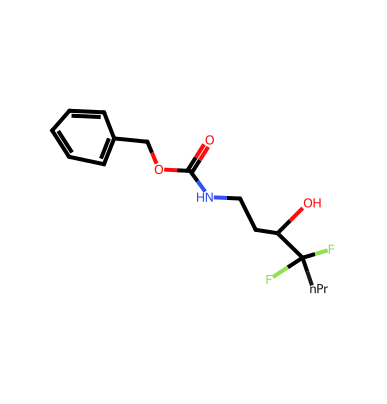 CCCC(F)(F)C(O)CCNC(=O)OCc1ccccc1